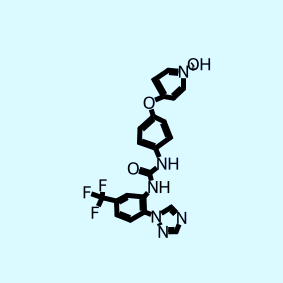 O=C(Nc1ccc(Oc2cc[n+](O)cc2)cc1)Nc1cc(C(F)(F)F)ccc1-n1cncn1